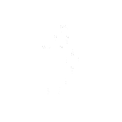 CSc1nc(N)nc(CN2CCN(CC=Cc3ccccc3)CC2)n1